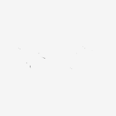 O=C1CCC(Nc2ccc([C@@H]3CCNC[C@@H]3O)cc2)C(=O)N1